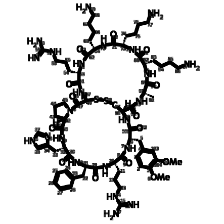 COc1ccc(C[C@@H]2NC(=O)[C@H](CCCNC(=N)N)NC(=O)[C@@H](Cc3ccccc3)NC(=O)[C@H](Cc3c[nH]cn3)NC(=O)[C@@H]3CCCN3C(=O)[C@H]3NC(=O)[C@H](CCCNC(=N)N)NC(=O)[C@H](CCCCN)NC(=O)[C@H](CCCCN)NC(=O)[C@H](CCCCN)NC(=O)[C@H](C)NC(=O)[C@H](CSS3)NC2=O)cc1OC